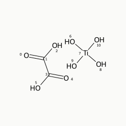 O=C(O)C(=O)O.[OH][Ti]([OH])([OH])[OH]